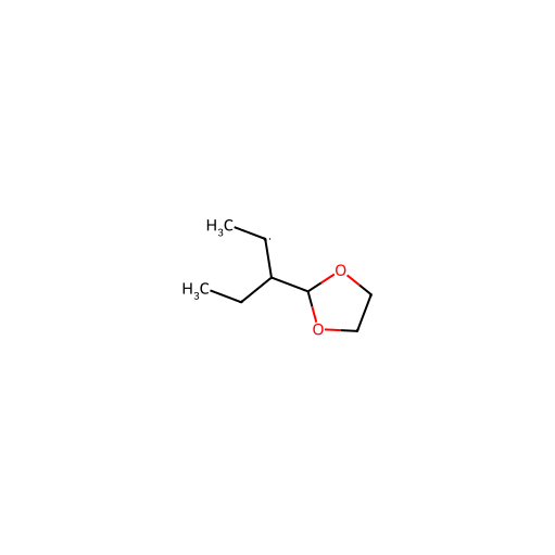 C[CH]C(CC)C1OCCO1